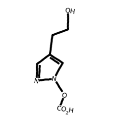 O=C(O)On1cc(CCO)cn1